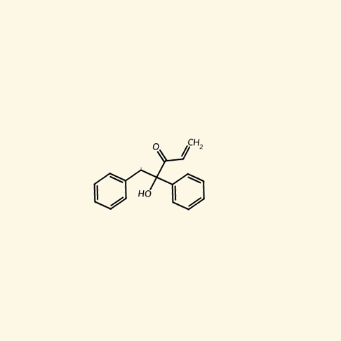 C=CC(=O)C(O)([CH]c1ccccc1)c1ccccc1